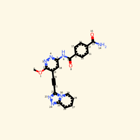 COc1nnc(NC(=O)c2ccc(C(N)=O)cc2)cc1C#Cc1nnc2ccccn12